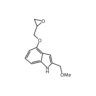 COCc1cc2c(OCC3CO3)cccc2[nH]1